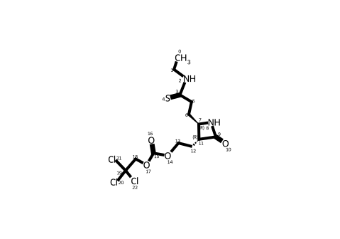 CCNC(=S)CC[C@H]1NC(=O)[C@@H]1CCOC(=O)OCC(Cl)(Cl)Cl